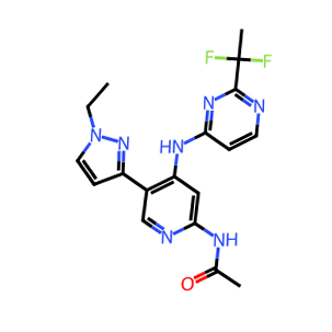 CCn1ccc(-c2cnc(NC(C)=O)cc2Nc2ccnc(C(C)(F)F)n2)n1